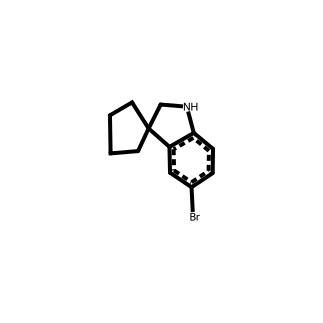 Brc1ccc2c(c1)C1(CCCC1)CN2